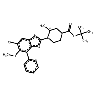 COc1c(Cl)cc2nc(N3CCN(C(=O)OC(C)(C)C)C[C@@H]3C)oc2c1-c1ccccn1